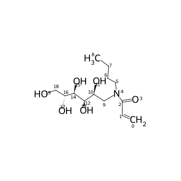 C=CC(=O)N(CCCC)C[C@H](O)[C@@H](O)[C@H](O)[C@H](O)CO